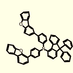 c1ccc(C2(c3ccccc3)c3ccccc3-c3c(N(c4ccc(-c5cccc6c5oc5ccccc56)cc4)c4cccc(-c5ccc6oc7ccccc7c6c5)c4)cccc32)cc1